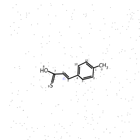 Cc1ccc(/C=C/C(O)=S)cc1